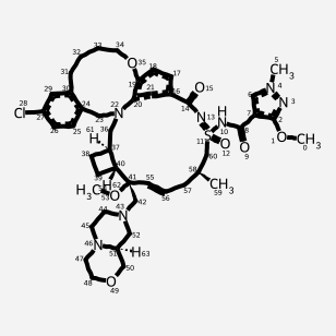 COc1nn(C)cc1C(=O)NS1(=O)=NC(=O)c2ccc3c(c2)N(Cc2ccc(Cl)cc2CCCCO3)C[C@@H]2CC[C@H]2[C@@](CN2CCN3CCOC[C@@H]3C2)(OC)/C=C/C[C@H](C)C1